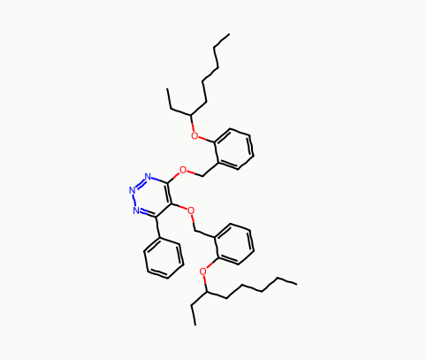 CCCCCC(CC)Oc1ccccc1COc1nnnc(-c2ccccc2)c1OCc1ccccc1OC(CC)CCCCC